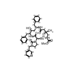 CCC(C)C(C(=O)NC(Cc1ccccc1)C(O)CN(Cc1ccccc1)NC(=O)CC(C)(C)CNC(=O)OC)N1CCN(Cc2cccnc2)C1=O